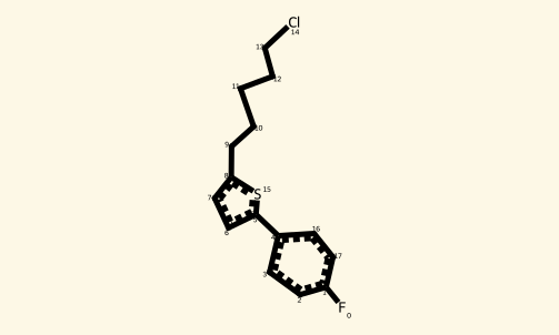 Fc1ccc(-c2ccc(CCCCCCl)s2)cc1